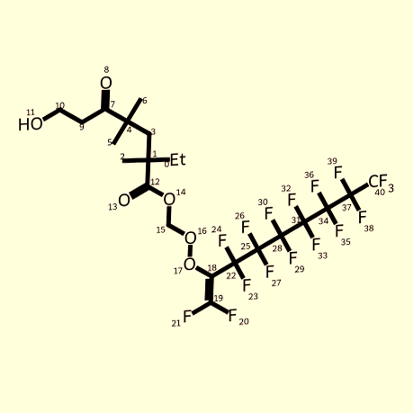 CCC(C)(CC(C)(C)C(=O)CCO)C(=O)OCOOC(=C(F)F)C(F)(F)C(F)(F)C(F)(F)C(F)(F)C(F)(F)C(F)(F)C(F)(F)F